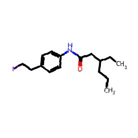 CCCC(CC)CC(=O)Nc1ccc(CCI)cc1